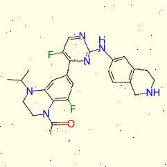 CC(=O)N1CCN(C(C)C)c2cc(-c3nc(Nc4ccc5c(c4)CCNC5)ncc3F)cc(F)c21